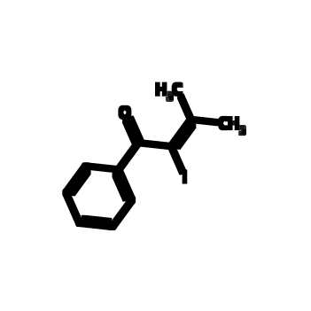 CC(C)=C(I)C(=O)c1ccccc1